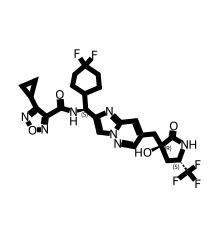 O=C(N[C@H](c1cn2ncc(C[C@@]3(O)C[C@@H](C(F)(F)F)NC3=O)cc2n1)C1CCC(F)(F)CC1)c1nonc1C1CC1